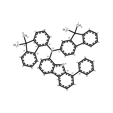 CC1(C)c2ccccc2-c2ccc(N(c3cccc4c3-c3ccccc3C4(C)C)c3cccc4c3oc3c(-c5ccccc5)cccc34)cc21